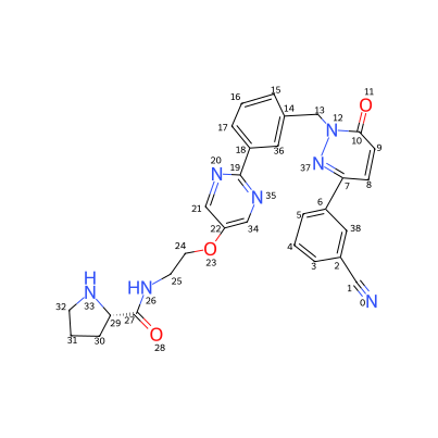 N#Cc1cccc(-c2ccc(=O)n(Cc3cccc(-c4ncc(OCCNC(=O)[C@@H]5CCCN5)cn4)c3)n2)c1